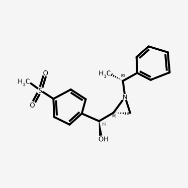 C[C@H](c1ccccc1)N1C[C@@H]1[C@@H](O)c1ccc(S(C)(=O)=O)cc1